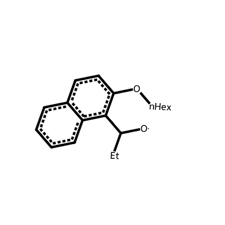 CCCCCCOc1ccc2ccccc2c1C([O])CC